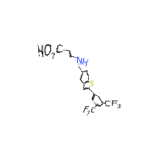 O=C(O)CCNCc1ccc2sc(-c3cc(C(F)(F)F)cc(C(F)(F)F)c3)cc2c1